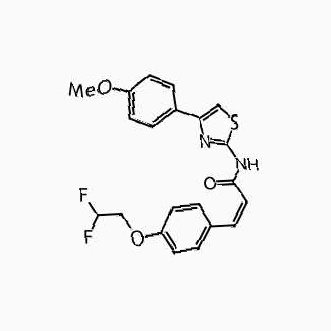 COc1ccc(-c2csc(NC(=O)/C=C\c3ccc(OCC(F)F)cc3)n2)cc1